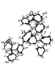 c1ccc(-c2ccccc2-c2ccccc2-c2ccccc2N(c2ccc(-c3ccc4c(c3)C3(CC5CCC3C5)c3ccccc3-4)cc2)c2cccc3oc4ccccc4c23)cc1